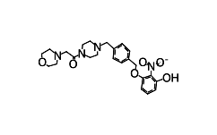 O=C(CN1CCOCC1)N1CCN(Cc2ccc(COc3cccc(O)c3[N+](=O)[O-])cc2)CC1